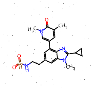 Cc1cc(-c2cc(CCN[SH](=O)=O)cc3c2nc(C2CC2)n3C)cn(C)c1=O